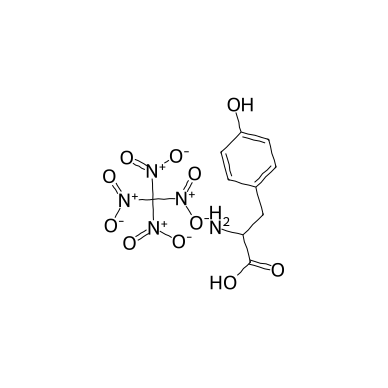 NC(Cc1ccc(O)cc1)C(=O)O.O=[N+]([O-])C([N+](=O)[O-])([N+](=O)[O-])[N+](=O)[O-]